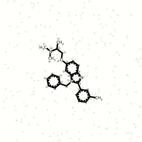 Cc1cccc(-c2nc3ccc(OCC(C)N(C)C)cc3n2Cc2ccccc2)c1